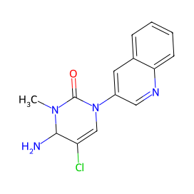 CN1C(=O)N(c2cnc3ccccc3c2)C=C(Cl)C1N